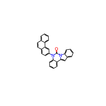 O=c1n(-c2ccc3ccc4ccccc4c3c2)c2ccccc2c2cc3ccccc3n12